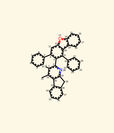 Cc1c(-c2c(-c3ccccc3)cc3oc4ccccc4c3c2-c2ccccc2)nc2c(c1C)-c1ccccc1C2